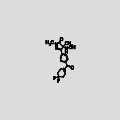 CN1N=C(c2ccc(C(=O)N3CCC(F)(F)CC3)cc2)C(C)(NO)C1=O